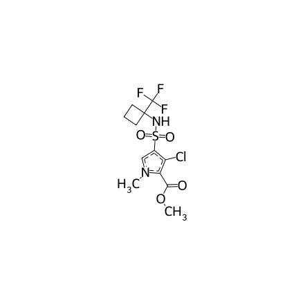 COC(=O)c1c(Cl)c(S(=O)(=O)NC2(C(F)(F)F)CCC2)cn1C